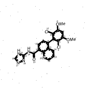 COc1cc(OC)c(Cl)c(-c2ccc(C(=O)Nc3nnc[nH]3)c3ncccc23)c1Cl